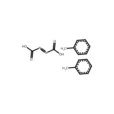 Cc1ccccc1.Cc1ccccc1.O=C(O)/N=N/C(=O)O